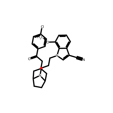 COc1cccc2c(C#N)cn(CCCN3C4CCC3CC(CC(=O)c3ccc(Cl)cc3)C4)c12